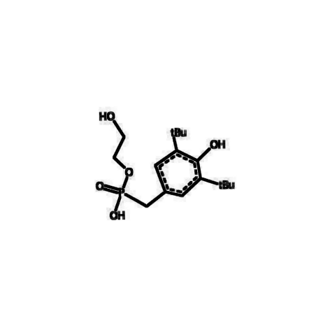 CC(C)(C)c1cc(CP(=O)(O)OCCO)cc(C(C)(C)C)c1O